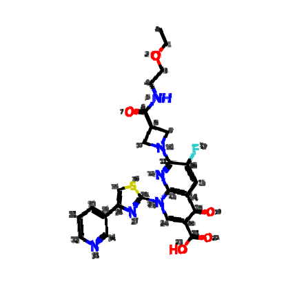 CCOCCNC(=O)C1CN(c2nc3c(cc2F)c(=O)c(C(=O)O)cn3-c2nc(-c3cccnc3)cs2)C1